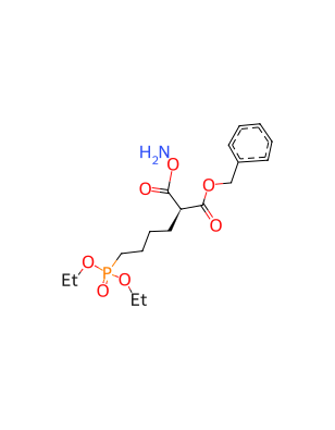 CCOP(=O)(CCCC[C@@H](C(=O)ON)C(=O)OCc1ccccc1)OCC